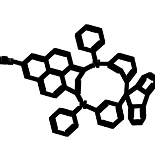 CC(C)(C)c1cc2ccc3c4cc(c5ccc(c1)c2c35)N(c1ccccc1)c1cccc(c1)C1(c2cccc(c2)N4c2ccccc2)c2ccccc2-c2ccccc21